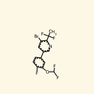 CC(F)(F)c1ncc(-c2ccc(F)c(OC(F)F)c2)cc1Br